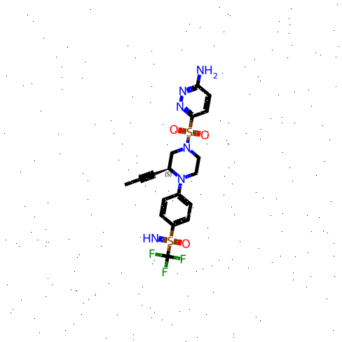 CC#C[C@H]1CN(S(=O)(=O)c2ccc(N)nn2)CCN1c1ccc(S(=N)(=O)C(F)(F)F)cc1